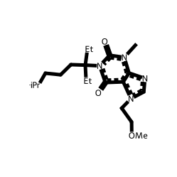 CCC(CC)(CCC[C](C)C)n1c(=O)c2c(ncn2CCOC)n(C)c1=O